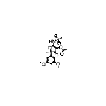 COc1cc(OC)cc(C2(C)OC(NS(C)(=O)=O)=C(OC(C)=O)C2=O)c1